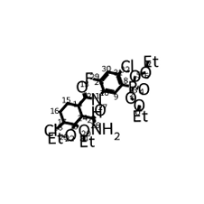 CCOOP(=O)(OOCC)c1cc(NC(=O)C2CCC(Cl)C(OCC)(OCC)C2C(N)=O)c(F)cc1Cl